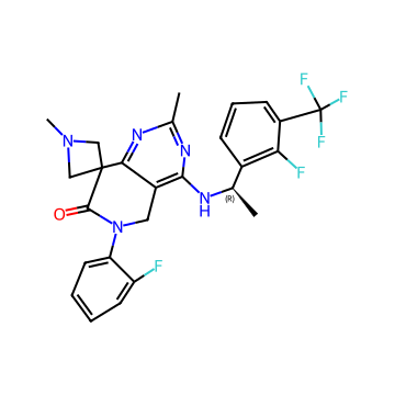 Cc1nc(N[C@H](C)c2cccc(C(F)(F)F)c2F)c2c(n1)C1(CN(C)C1)C(=O)N(c1ccccc1F)C2